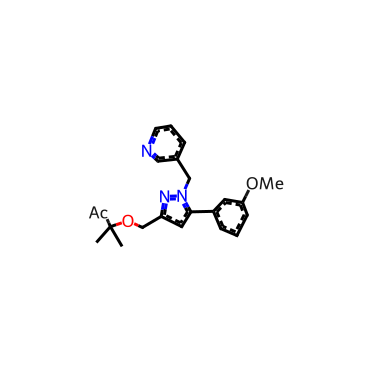 COc1cccc(-c2cc(COC(C)(C)C(C)=O)nn2Cc2cccnc2)c1